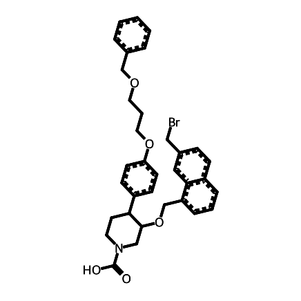 O=C(O)N1CCC(c2ccc(OCCCOCc3ccccc3)cc2)C(OCc2cccc3ccc(CBr)cc23)C1